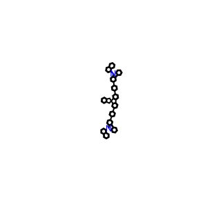 c1ccc2c(c1)CC1(C2)c2cc(-c3ccc(-c4ccc5c(c4)c4ccccc4n5-c4cccc5ccccc45)cc3)ccc2-c2ccc(-c3ccc(-c4ccc5c(c4)c4ccccc4n5-c4cccc5ccccc45)cc3)cc21